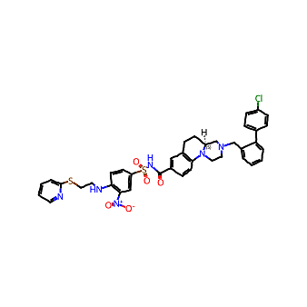 O=C(NS(=O)(=O)c1ccc(NCCSc2ccccn2)c([N+](=O)[O-])c1)c1ccc2c(c1)CC[C@H]1CN(Cc3ccccc3-c3ccc(Cl)cc3)CCN21